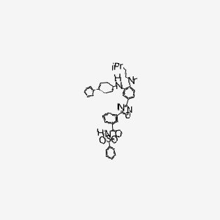 CC(C)CCN(C)c1ccc(-c2noc(-c3cccc(C(=O)NS(=O)(=O)c4ccccc4)c3)n2)cc1NC1CCC(c2ccccc2)CC1